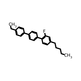 CCCCCc1ccc(-c2ccc(-c3ccc(CC)cc3)cc2)c(F)c1